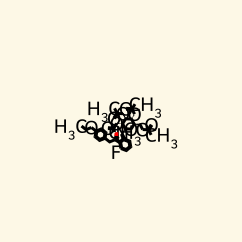 CCOc1ccc(Cc2cn([C@@H]3O[C@H](COC(C)=O)[C@@H](OC(C)=O)[C@H](OC(C)=O)[C@H]3OC(C)=O)c3cccc(F)c23)cc1